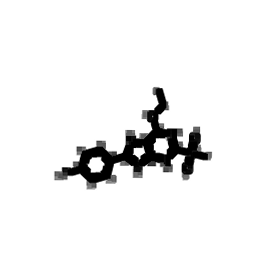 CCOc1nc(S(C)(=O)=O)nc2sc(-c3ccc(F)cc3)nc12